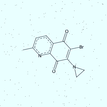 Cc1ccc2c(n1)C(=O)C(N1CC1)=C(Br)C2=O